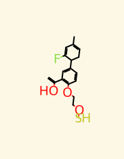 C=C(O)c1cc(C2CC=C(C)C=C2F)ccc1OCCOS